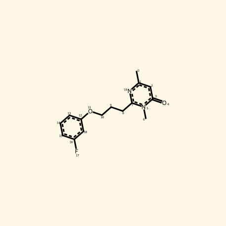 Cc1cc(=O)n(C)c(CCCOc2cccc(F)c2)n1